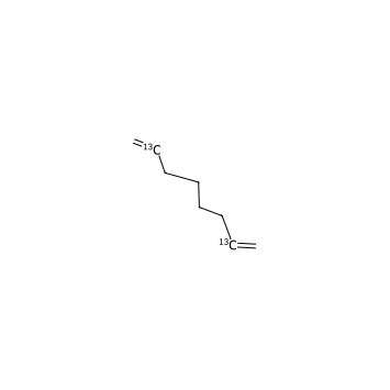 C=[13CH]CCCC[13CH]=C